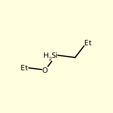 [CH2]CC[SiH2]OCC